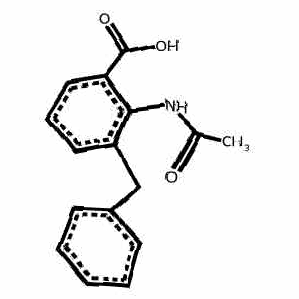 CC(=O)Nc1c(Cc2ccccc2)cccc1C(=O)O